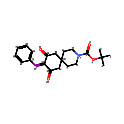 CC(C)(C)OC(=O)N1CCC2(CC1)CC(=O)C(=Ic1ccccc1)C(=O)C2